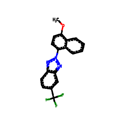 COc1ccc(-n2nc3ccc(C(F)(F)F)cc3n2)c2ccccc12